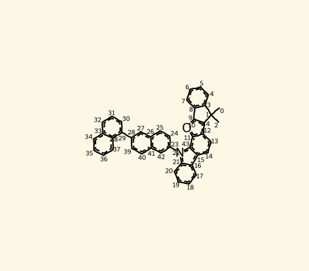 CC1(C)c2ccccc2-c2oc3c(ccc4c5ccccc5n(-c5ccc6cc(-c7cccc8ccccc78)ccc6c5)c43)c21